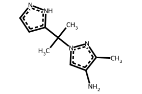 Cc1nn(C(C)(C)c2ccn[nH]2)cc1N